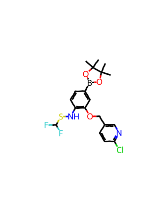 CC1(C)OB(c2ccc(NSC(F)F)c(OCc3ccc(Cl)nc3)c2)OC1(C)C